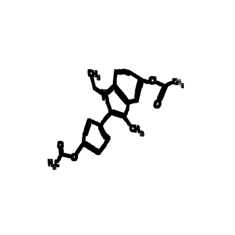 CCn1c(-c2ccc(OC(C)=O)cc2)c(C)c2cc(OC(C)=O)ccc21